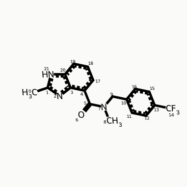 Cc1nc2c(C(=O)N(C)Cc3ccc(C(F)(F)F)cc3)cccc2[nH]1